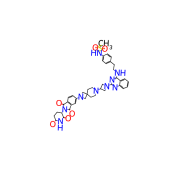 CS(=O)(=O)Nc1ccc(CCNc2nc(N3CC(N4CCC5(CC4)CN(c4ccc6c(c4)C(=O)N(C4CCC(=O)NC4=O)C6=O)C5)C3)nc3ccccc23)cc1